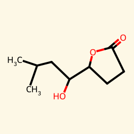 CC(C)CC(O)C1CCC(=O)O1